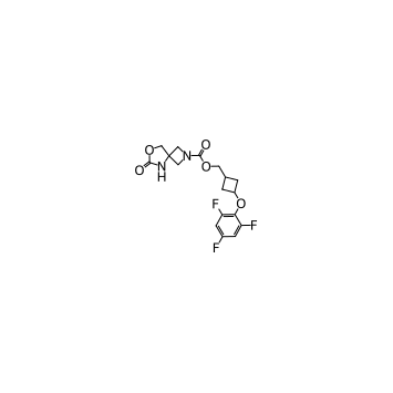 O=C1NC2(CO1)CN(C(=O)OCC1CC(Oc3c(F)cc(F)cc3F)C1)C2